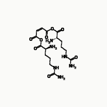 NC(=O)NCCC[C@H](N)C(=O)OC(=O)/C=C\C(=O)OC(=O)[C@@H](N)CCCNC(N)=O